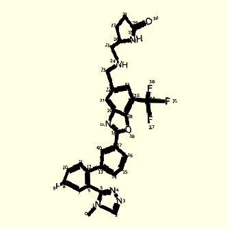 Cn1cnnc1-c1cc(F)ccc1-c1cccc(-c2nc3cc(CNCC4CCC(=O)N4)cc(C(F)(F)F)c3o2)c1